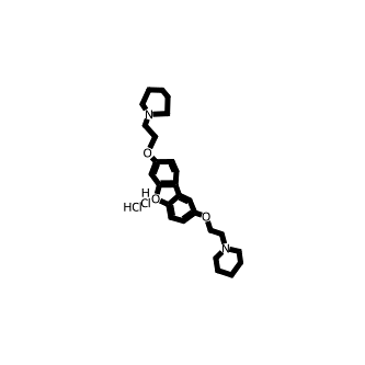 Cl.Cl.c1cc2c(cc1OCCN1CCCCC1)oc1ccc(OCCN3CCCCC3)cc12